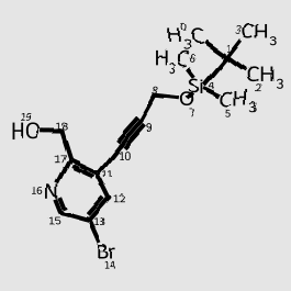 CC(C)(C)[Si](C)(C)OCC#Cc1cc(Br)cnc1CO